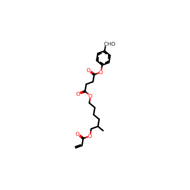 C=CC(=O)OCC(C)CCCCOC(=O)CCC(=O)Oc1ccc(C=O)cc1